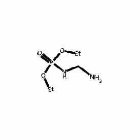 CCOP(=O)(NCN)OCC